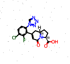 O=C(O)[C@@H]1CC[C@H]2CC(c3c(-n4cnnn4)ccc(Cl)c3F)=CC(=O)N21